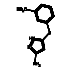 Nc1cc(Sc2cccc(C(=O)O)c2)[nH]n1